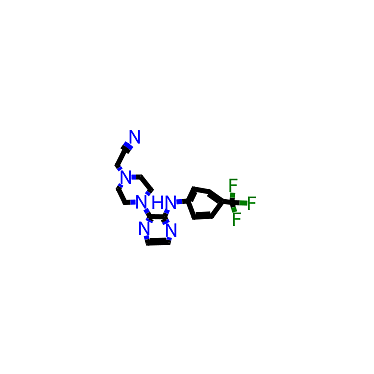 N#CCN1CCN(c2nccnc2Nc2ccc(C(F)(F)F)cc2)CC1